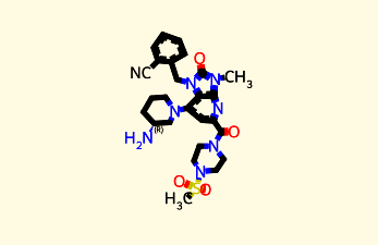 Cn1c(=O)n(Cc2ccccc2C#N)c2c(N3CCC[C@@H](N)C3)cc(C(=O)N3CCN(S(C)(=O)=O)CC3)nc21